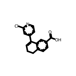 O=C(O)c1ccc2c(c1)C(c1ccnc(Cl)c1)=CCC2